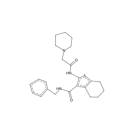 O=C(CN1CCCCC1)Nc1sc2c(c1C(=O)NCc1ccccc1)CCCC2